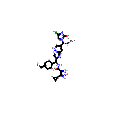 COC[C@H](c1cnn2cc(C(NC(=O)c3nonc3C3CC3)C3CCC(=CF)CC3)nc2c1)N1CC(Cl)=NC1=O